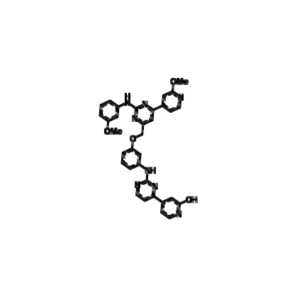 COc1cccc(Nc2nc(COc3cccc(Nc4nccc(-c5ccnc(O)c5)n4)c3)cc(-c3ccnc(OC)c3)n2)c1